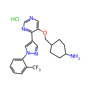 Cl.NC1CCC(COc2cncnc2-c2cnn(-c3ccccc3C(F)(F)F)c2)CC1